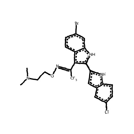 CN(C)CCON=C(c1c(-c2cc3cc(Cl)ccc3[nH]2)[nH]c2cc(Br)ccc12)C(F)(F)F